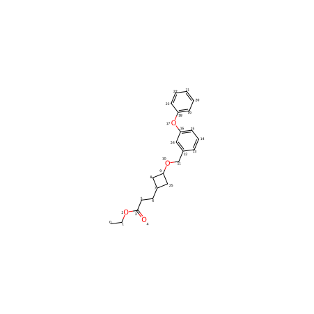 CCOC(=O)CCC1CC(OCc2cccc(Oc3ccccc3)c2)C1